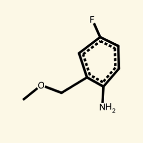 COCc1cc(F)ccc1N